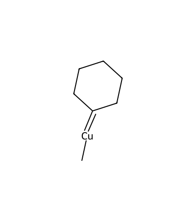 [CH3][Cu]=[C]1CCCCC1